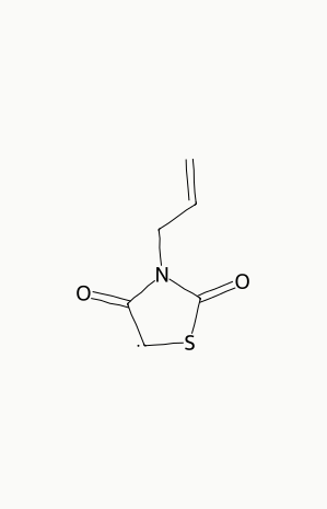 C=CCN1C(=O)[CH]SC1=O